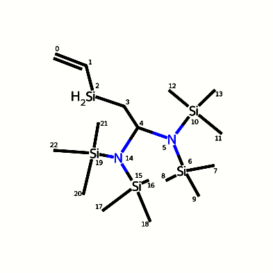 C=C[SiH2]CC(N([Si](C)(C)C)[Si](C)(C)C)N([Si](C)(C)C)[Si](C)(C)C